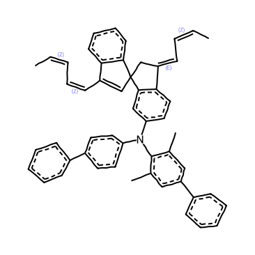 C/C=C\C=C/C1=CC2(C/C(=C\C=C/C)c3ccc(N(c4ccc(-c5ccccc5)cc4)c4c(C)cc(-c5ccccc5)cc4C)cc32)c2ccccc21